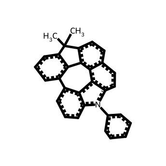 CC1(C)c2cccc3c2-c2c1ccc1ccc4c(c21)c1c-3cccc1n4-c1ccccc1